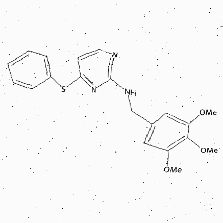 COc1cc(CNc2nccc(Sc3ccccc3)n2)cc(OC)c1OC